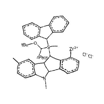 CCCCCC(OC(C)(C)C)[Si](C)(C1c2ccccc2-c2ccccc21)C1c2[c]([Zr+2])cccc2C2C1c1cc(C)ccc1N2C.[Cl-].[Cl-]